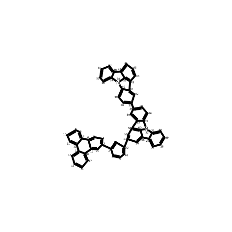 c1cc(-c2ccc3c4ccccc4c4ccccc4c3c2)cc(-c2cc3c4ccccc4n4c5ccc(-c6ccc7c(c6)c6cccc8c9ccccc9n7c86)cc5c(c2)c34)c1